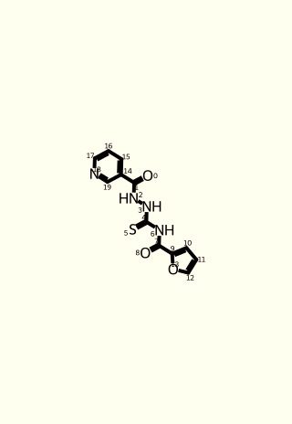 O=C(NNC(=S)NC(=O)c1ccco1)c1cccnc1